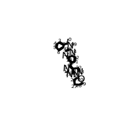 C[C@H](c1ccccc1)N(C)c1cnc2cc(-c3ncnc4c3cnn4C3CCCCO3)ccc2n1